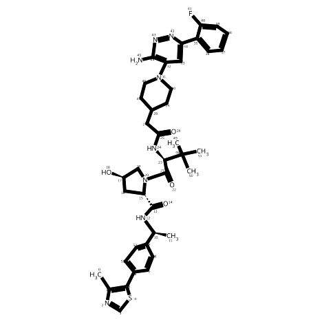 Cc1ncsc1-c1ccc([C@H](C)NC(=O)[C@@H]2C[C@@H](O)CN2C(=O)[C@@H](NC(=O)CC2CCN(c3cc(-c4ccccc4F)nnc3N)CC2)C(C)(C)C)cc1